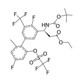 CCOC(=O)C[C@H](NC(=O)OC(C)(C)C)c1cc(-c2c(C)cc(F)cc2OS(=O)(=O)C(F)(F)F)cc(C(F)(F)F)c1F